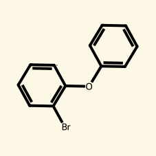 Brc1ccc[c]c1Oc1ccccc1